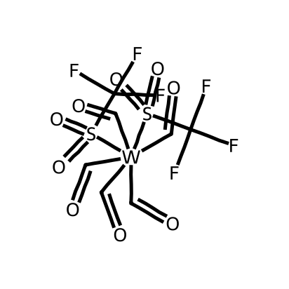 O=[CH][W]([CH]=O)([CH]=O)([CH]=O)([CH]=O)([S](=O)(=O)C(F)(F)F)[S](=O)(=O)C(F)(F)F